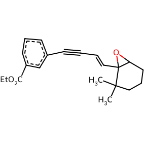 CCOC(=O)c1cccc(C#CC=CC23OC2CCCC3(C)C)c1